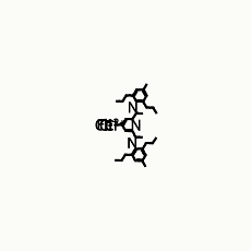 CCCc1cc(C)cc(CCC)c1N=C(C)c1cc(Cl)cc(C(C)=Nc2c(CCC)cc(C)cc2CCC)n1.[Cl-].[Cl-].[Fe+2]